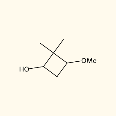 COC1CC(O)C1(C)C